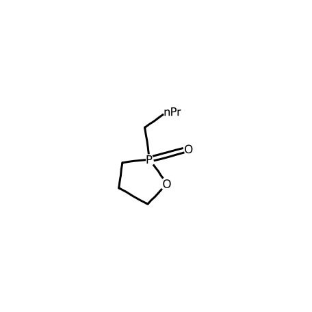 CCCCP1(=O)CCCO1